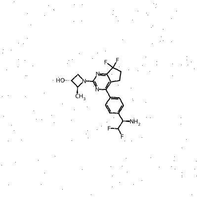 C[C@H]1[C@H](O)CN1c1nc(-c2ccc([C@@H](N)C(F)F)cc2)c2c(n1)C(F)(F)CC2